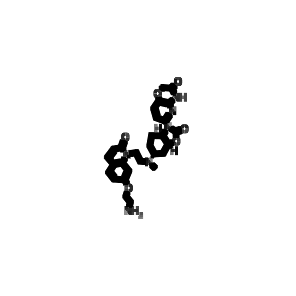 CN(CCn1c(=O)ccc2ccc(OCCN)cc21)[C@@H]1CC[C@@H]2[C@@H](C1)OC(=O)N2c1ccc2c(n1)NC(=O)CO2